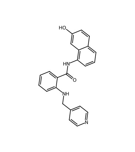 O=C(Nc1cccc2ccc(O)cc12)c1ccccc1NCc1ccncc1